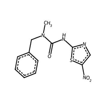 CN(Cc1ccccc1)C(=O)Nc1ncc([N+](=O)[O-])s1